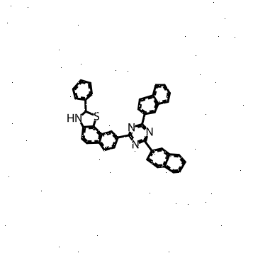 c1ccc(C2Nc3ccc4ccc(-c5nc(-c6ccc7ccccc7c6)nc(-c6ccc7ccccc7c6)n5)cc4c3S2)cc1